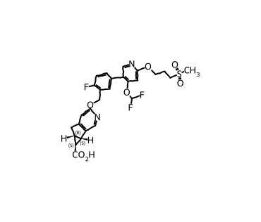 CS(=O)(=O)CCCOc1cc(OC(F)F)c(-c2ccc(F)c(COc3cc4c(cn3)[C@H]3[C@@H](C4)[C@@H]3C(=O)O)c2)cn1